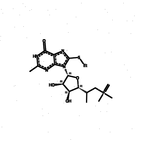 C=P(C)(C)CC(C)[C@H]1O[C@@H](n2c(SCC)nc3c(=O)[nH]c(C)nc32)[C@H](O)[C@@H]1O